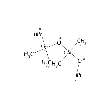 CCC[Si](C)(C)O[Si](C)(C)OC(C)C